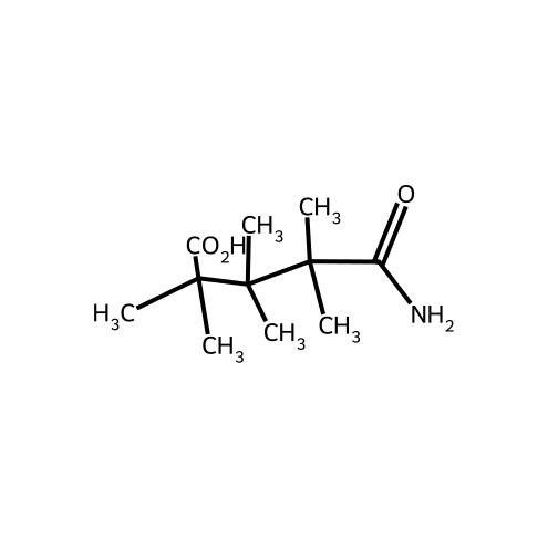 CC(C)(C(N)=O)C(C)(C)C(C)(C)C(=O)O